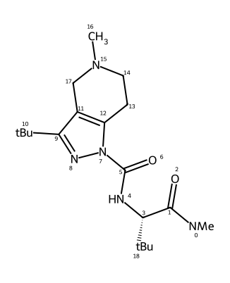 CNC(=O)[C@@H](NC(=O)n1nc(C(C)(C)C)c2c1CCN(C)C2)C(C)(C)C